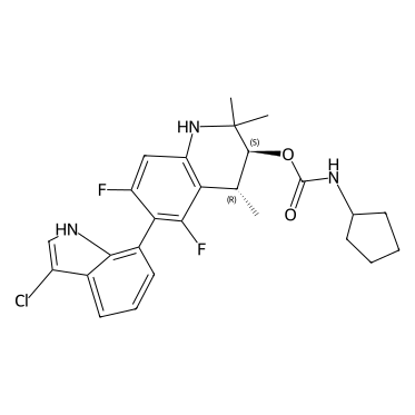 C[C@@H]1c2c(cc(F)c(-c3cccc4c(Cl)c[nH]c34)c2F)NC(C)(C)[C@H]1OC(=O)NC1CCCC1